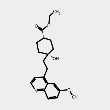 CCOC(=O)[C@H]1CC[C@](O)(CCc2ccnc3ccc(OC)cc23)CC1